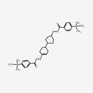 C[Si](C)(C)c1ccc(C(=O)OOC2=CCC(C3CCC(OOC(=O)c4ccc([Si](C)(C)C)cc4)CC3)CC2)cc1